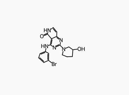 O=c1[nH]ccc2nc(N3CCCC(O)C3)nc(Nc3cccc(Br)c3)c12